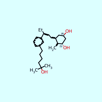 C=C1C(=CC=C(CC)c2cccc(CCCCC(C)(C)O)c2)C[C@@H](O)C[C@@H]1O